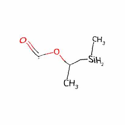 C[SiH2]C(C)O[C]=O